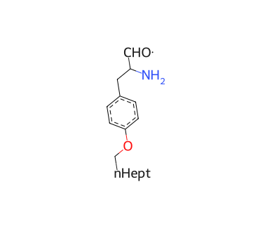 CCCCCCCCOc1ccc(CC(N)[C]=O)cc1